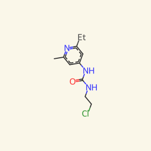 CCc1cc(NC(=O)NCCCl)cc(C)n1